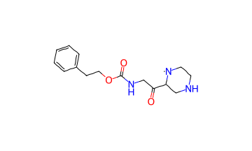 O=C(NCC(=O)C1CNCC[N]1)OCCc1ccccc1